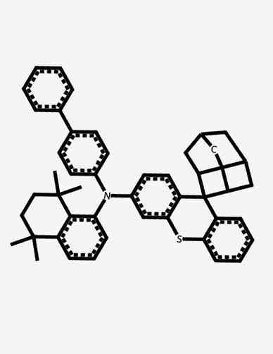 CC1(C)CCC(C)(C)c2c(N(c3ccc(-c4ccccc4)cc3)c3ccc4c(c3)Sc3ccccc3C43C4CC5CC6CC3C64C5)cccc21